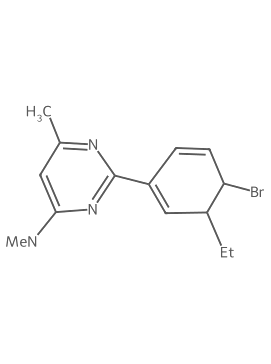 CCC1C=C(c2nc(C)cc(NC)n2)C=CC1Br